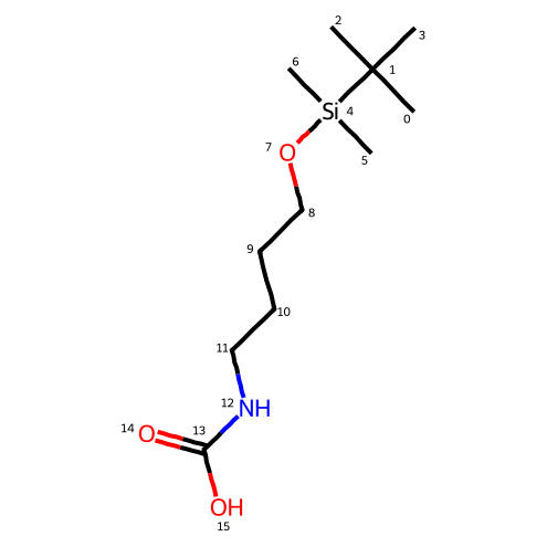 CC(C)(C)[Si](C)(C)OCCCCNC(=O)O